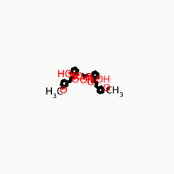 COc1cccc(/C=C/C(=O)c2c(O)cccc2OCC(O)COc2cccc(O)c2C(=O)/C=C/c2cccc(OC)c2)c1